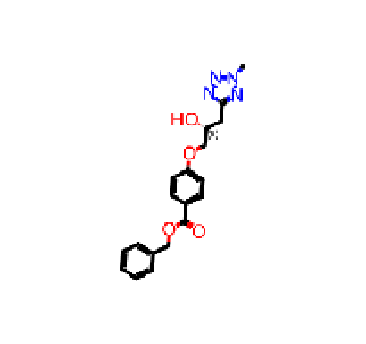 Cn1nnc(C[C@@H](O)COc2ccc(C(=O)OCc3ccccc3)cc2)n1